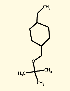 CCC1CCC(COC(C)(C)C)CC1